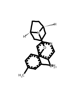 Cc1ccc(O[C@H]2C[C@H]3CC[C@@H](C2)N3c2ccc(C(F)(F)F)cn2)c(N)c1